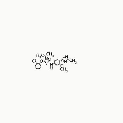 COc1cc(Nc2nc(Oc3ccccc3Cl)n(C(C)C)n2)ccc1-n1cnc(C)n1